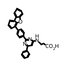 O=C(O)CCNc1cc(-c2ccccc2)nc(-c2ccc(-c3cccc4c3oc3ccccc34)cc2)n1